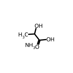 CC(O)C(=O)O.N